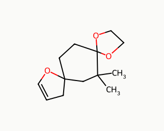 CC1(C)CC2(CC=CO2)CCC12OCCO2